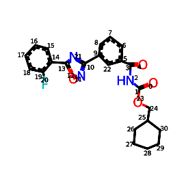 O=C(NC(=O)c1cccc(-c2noc(-c3ccccc3F)n2)c1)OCC1CCCCC1